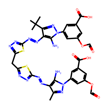 Cc1nn(-c2cc(OC=O)cc(C(=O)O)c2)c(N)c1N=Nc1nnc(Cc2nnc(N=Nc3c(C(C)(C)C)nn(-c4cc(OC=O)cc(C(=O)O)c4)c3N)s2)s1